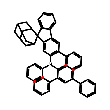 Fc1cc(-c2ccccc2)cc(-c2ccccc2)c1N(c1ccccc1)c1cc2c(cc1-c1ccccc1)-c1ccccc1C21C2CC3CC(C2)CC1C3